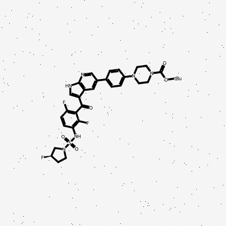 CC(C)(C)OC(=O)N1CCN(c2ccc(-c3cnc4[nH]cc(C(=O)c5c(F)ccc(NS(=O)(=O)N6CC[C@@H](F)C6)c5F)c4c3)cc2)CC1